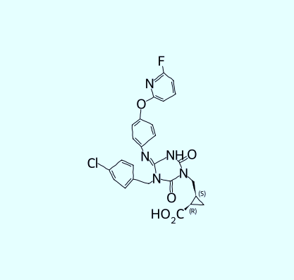 O=C(O)[C@@H]1C[C@@H]1Cn1c(=O)[nH]c(=Nc2ccc(Oc3cccc(F)n3)cc2)n(Cc2ccc(Cl)cc2)c1=O